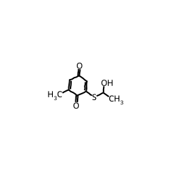 CC1=CC(=O)C=C(SC(C)O)C1=O